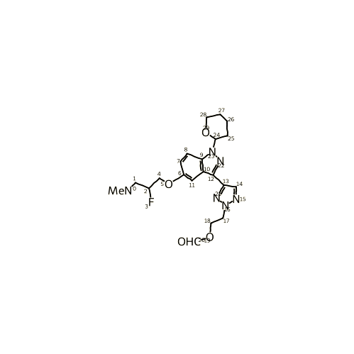 CNCC(F)COc1ccc2c(c1)c(-c1cnn(CCOC=O)n1)nn2C1CCCCO1